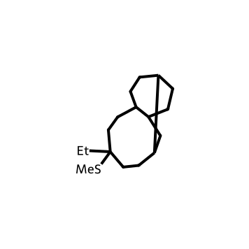 CCC1(SC)CCC2CCC3CCC2CC3CC1